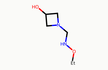 CCONCN1CC(O)C1